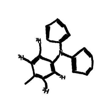 [2H]c1c([2H])c(N(c2ccccc2)c2ccccc2)c([2H])c([2H])c1C